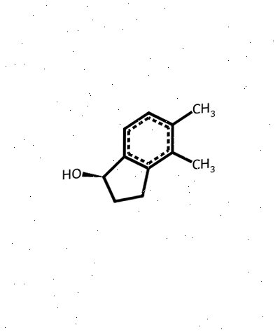 Cc1ccc2c(c1C)CC[C@H]2O